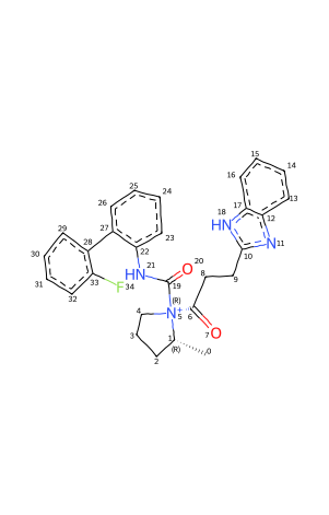 C[C@@H]1CCC[N@@+]1(C(=O)CCc1nc2ccccc2[nH]1)C(=O)Nc1ccccc1-c1ccccc1F